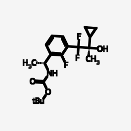 C[C@@H](NC(=O)OC(C)(C)C)c1cccc(C(F)(F)[C@](C)(O)C2CC2)c1F